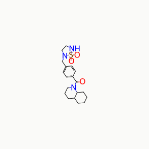 O=C(c1ccc(CN2CCNS2(=O)=O)cc1)N1CCCC2CCCCC21